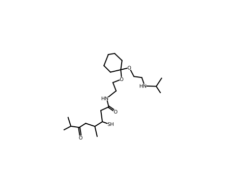 CC(C)NCCOC1(OCCNC(=O)CC(S)C(C)CC(=O)C(C)C)CCCCC1